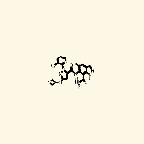 CCNC(=O)c1c(NC(=O)c2cc(OC3COC3)nn2-c2ncccc2Cl)c(C)cc2cn[nH]c12